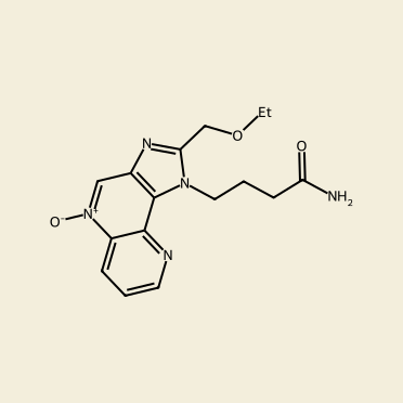 CCOCc1nc2c[n+]([O-])c3cccnc3c2n1CCCC(N)=O